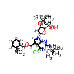 CC(C)(C)[Si](C)(C)Nc1nc(Cl)c2c(COCc3ccccc3[N+](=O)[O-])cn([C@H]3C[C@@H](O[Si](C)(C)C(C)(C)C)[C@@H](CO)O3)c2n1